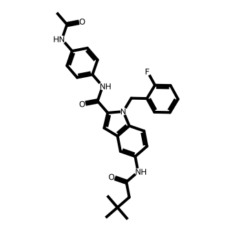 CC(=O)Nc1ccc(NC(=O)c2cc3cc(NC(=O)CC(C)(C)C)ccc3n2Cc2ccccc2F)cc1